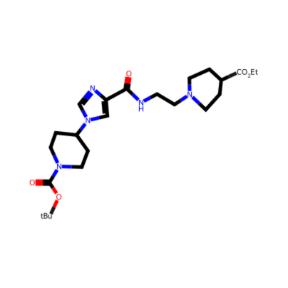 CCOC(=O)C1CCN(CCNC(=O)c2cn(C3CCN(C(=O)OC(C)(C)C)CC3)cn2)CC1